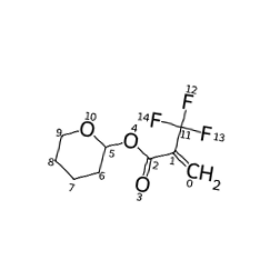 C=C(C(=O)OC1CCCCO1)C(F)(F)F